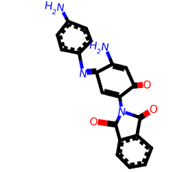 NC1=CC(=O)C(N2C(=O)c3ccccc3C2=O)=C/C1=N/c1ccc(N)cc1